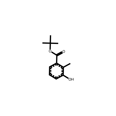 Cc1c(O)cccc1C(=O)OC(C)(C)C